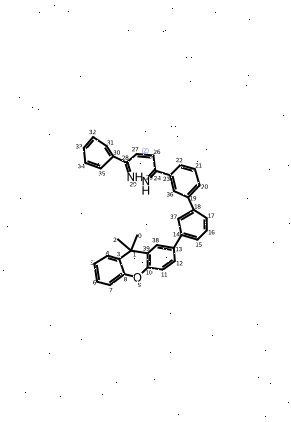 CC1(C)c2ccccc2Oc2ccc(-c3cccc(-c4cccc(C(=N)/C=C\C(=N)c5ccccc5)c4)c3)cc21